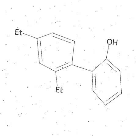 CCc1ccc(-c2ccccc2O)c(CC)c1